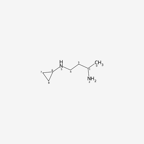 CC(N)CCNC1CC1